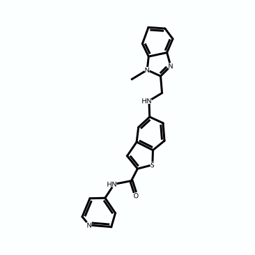 Cn1c(CNc2ccc3sc(C(=O)Nc4ccncc4)cc3c2)nc2ccccc21